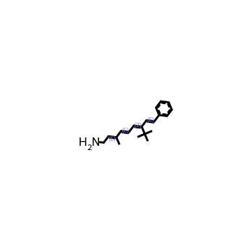 CC(/C=C/C=C(/C=C/c1ccccc1)C(C)(C)C)=C\CN